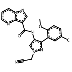 COc1ccc(Cl)cc1-c1nn(CC#N)cc1NC(=O)c1cnn2cccnc12